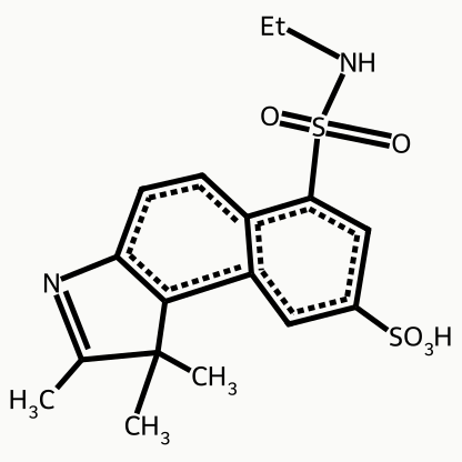 CCNS(=O)(=O)c1cc(S(=O)(=O)O)cc2c3c(ccc12)N=C(C)C3(C)C